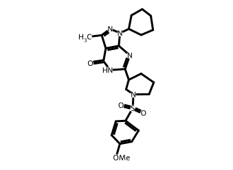 COc1ccc(S(=O)(=O)N2CCCC(c3nc4c(c(C)nn4C4CCCCC4)c(=O)[nH]3)C2)cc1